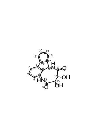 O=C1Nc2cccc3c2C(NC(=O)C(O)C1O)c1ccccc1-3